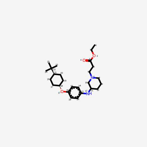 CCOC(=O)CCN1CCCC(Nc2ccc(O[C@H]3CC[C@H](C(C)(C)C)CC3)cc2)C1